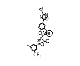 COc1ccc(-c2nc(C3CC3)no2)cc1C1=C(CN2C(=O)O[C@H](c3cc(C)cc(C(F)(F)F)c3)[C@@H]2C)CCCC1